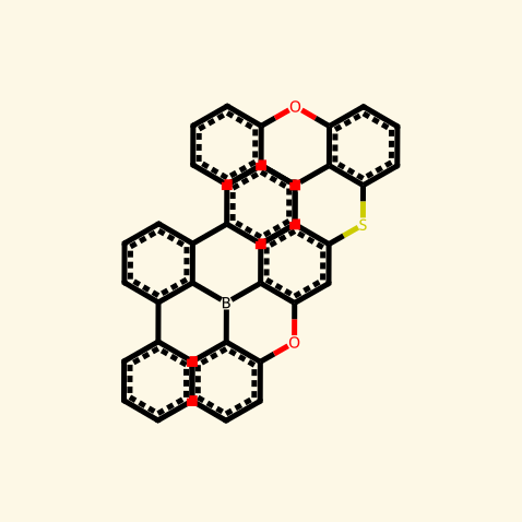 c1ccc(-c2cccc(-c3ccccc3)c2B2c3ccccc3Oc3cc4c(cc32)B2c3ccccc3Oc3cccc(c32)S4)cc1